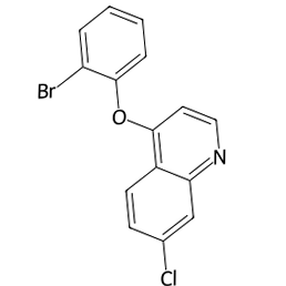 Clc1ccc2c(Oc3ccccc3Br)ccnc2c1